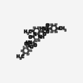 Cc1ccc(S(=O)(=O)NC(=O)C2=CNC3=C(C(=O)NS(=O)(=O)c4ccc(C)cc4)CCC(C)N3C2=O)cc1